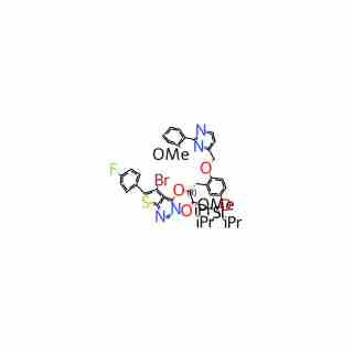 COC(=O)[C@@H](Cc1cc(O[Si](C(C)C)(C(C)C)C(C)C)ccc1OCc1ccnc(-c2ccccc2OC)n1)Oc1ncnc2sc(-c3ccc(F)cc3)c(Br)c12